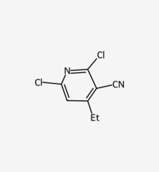 CCc1cc(Cl)nc(Cl)c1C#N